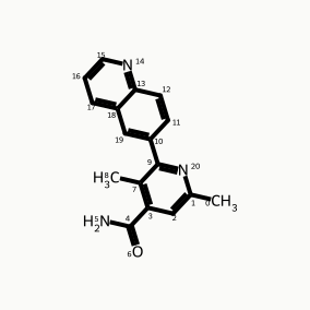 Cc1cc(C(N)=O)c(C)c(-c2ccc3ncccc3c2)n1